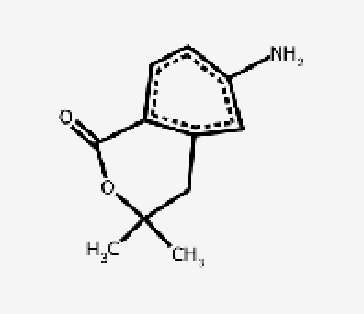 CC1(C)Cc2cc(N)ccc2C(=O)O1